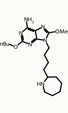 CCCCOc1nc(N)c2nc(OC)n(CCCCC3CCCCCN3)c2n1